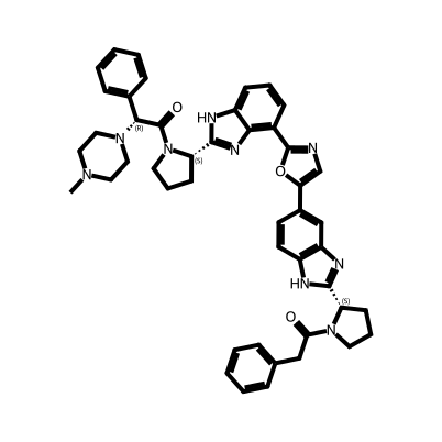 CN1CCN([C@@H](C(=O)N2CCC[C@H]2c2nc3c(-c4ncc(-c5ccc6[nH]c([C@@H]7CCCN7C(=O)Cc7ccccc7)nc6c5)o4)cccc3[nH]2)c2ccccc2)CC1